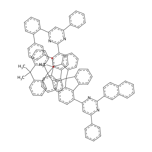 CC1(C)c2ccccc2C2(c3ccccc3-c3ccc(-c4nc(-c5ccccc5)cc(-c5ccccc5-c5cccc(CC6(C)c7ccccc7C7(c8ccccc8-c8c(-c9cc(-c%10ccccc%10)nc(-c%10ccc%11ccccc%11c%10)n9)cccc87)c7ccccc76)c5)n4)cc32)c2ccccc21